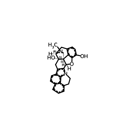 CN1CC[C@]23c4c5ccc(O)c4O[C@H]2c2c(c4ccc6cccc7c6c4n2CC7)C[C@@]3(O)[C@H]1C5